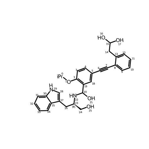 CC(C)Oc1ccc(C#Cc2ccccc2CC(O)O)cc1C(O)N[C@@H](CO)Cc1c[nH]c2ccccc12